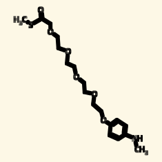 CNc1ccc(OCCOCCOCCOCCOCC(=O)SC)cc1